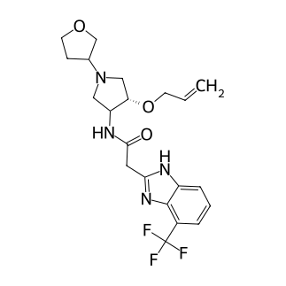 C=CCO[C@H]1CN(C2CCOC2)CC1NC(=O)Cc1nc2c(C(F)(F)F)cccc2[nH]1